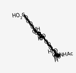 CC(=O)Nc1nc(N(CCC(=O)NCCCOCCOCCOCCCNC(=O)c2cc3ccc(OCC(=O)NCCOCCOCCOCCOCCC(=O)O)cc3oc2=O)[SH](=O)=O)c(C)s1